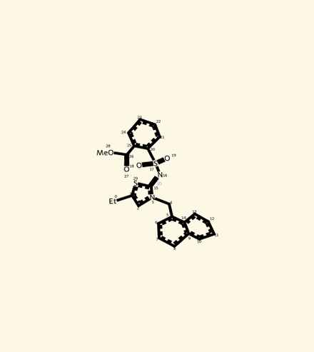 CCc1cn(Cc2cccc3ccccc23)/c(=N/S(=O)(=O)c2ccccc2C(=O)OC)s1